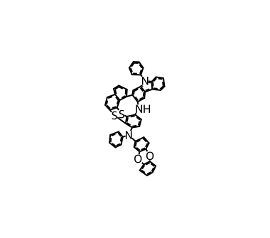 c1ccc(N(c2ccc3c(c2)Oc2ccccc2O3)c2ccc3c4c2Sc2ccc5cccc(c5c2S4)-c2cc4c(cc2N3)c2ccccc2n4-c2ccccc2)cc1